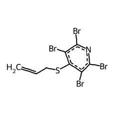 C=CCSc1c(Br)c(Br)nc(Br)c1Br